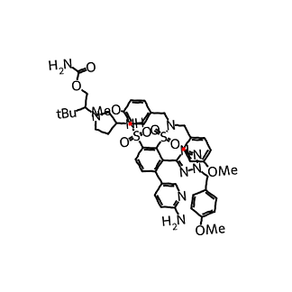 COc1ccc(CN(Cc2ccc(OC)cc2)S(=O)(=O)c2c(S(=O)(=O)NC3CCN(C(COC(N)=O)C(C)(C)C)C3)ccc(-c3ccc(N)nc3)c2-c2nnn(Cc3ccc(OC)cc3)n2)cc1